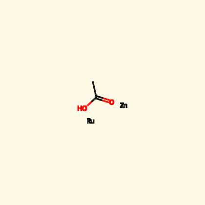 CC(=O)O.[Ru].[Zn]